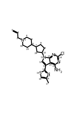 C=CCN1CCC(C2CCC(n3cc(-c4nc(C)cs4)c4c(N)nc(Cl)nc43)C2)CC1